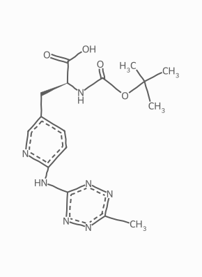 Cc1nnc(Nc2ccc(C[C@H](NC(=O)OC(C)(C)C)C(=O)O)cn2)nn1